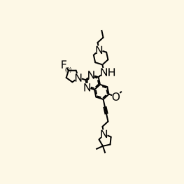 CCCN1CCC(Nc2nc(N3CC[C@@H](F)C3)nc3cc(C#CCCN4CCC(C)(C)C4)c(OC)cc23)CC1